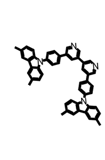 Cc1ccc2c(c1)c1cc(C)ccc1n2-c1ccc(-c2cncc(-c3cncc(-c4ccc(-n5c6ccc(C)cc6c6cc(C)ccc65)cc4)c3)c2)cc1